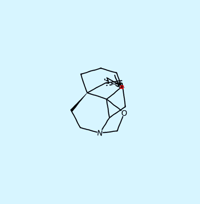 C1=CC23OCN4CC[C@@]2(CC1)c1ccccc1CC43